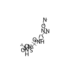 CN(C)CCOc1cncc(-c2ccc(NC(=O)C(C)(C)c3csc(NS(=O)(=O)C4CC4)n3)cc2)n1